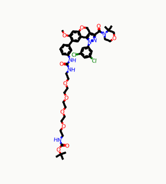 COc1cc2c(cc1-c1cccc(NC(=O)NCCOCCOCCOCCOCCNC(=O)OC(C)(C)C)c1)-c1c(c(C(=O)N3CCOCC3(C)C)nn1-c1cc(Cl)cc(Cl)c1)CO2